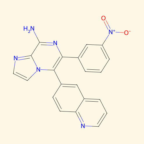 Nc1nc(-c2cccc([N+](=O)[O-])c2)c(-c2ccc3ncccc3c2)n2ccnc12